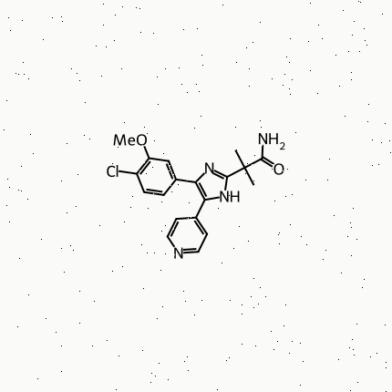 COc1cc(-c2nc(C(C)(C)C(N)=O)[nH]c2-c2ccncc2)ccc1Cl